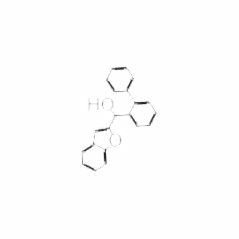 OC(c1cc2ccccc2o1)c1ccccc1-c1ccccc1